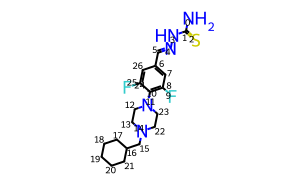 NC(=S)N/N=C/c1cc(F)c(N2CCN(CC3CCCCC3)CC2)c(F)c1